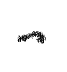 CCC[C@H](NC(=O)OC)C(=O)N1CCC[C@H]1c1ncc(-c2ccc(-c3nc4cc(-c5cnc([C@@H]6CCCN6C(=O)[C@@H](NC(=O)OC)C6CC6)[nH]5)ccc4o3)cc2)[nH]1